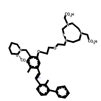 Cc1cc(CN2CCCC[C@H]2C(=O)O)c(OCCOCCN2CCN(CC(=O)O)CCN(CC(=O)O)CC2)cc1/C=C/c1cccc(-c2ccccc2)c1C